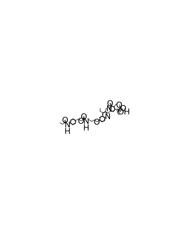 CCC(=O)Nc1ccc(COC(=O)NCCCOc2ccc3nc4c(c(CC)c3c2)Cn2c-4cc3c(c2=O)COC(=O)[C@]3(O)CC)cc1